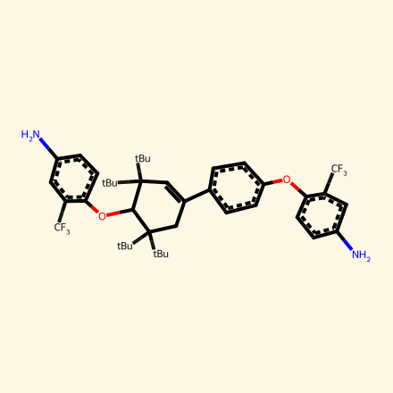 CC(C)(C)C1(C(C)(C)C)C=C(c2ccc(Oc3ccc(N)cc3C(F)(F)F)cc2)CC(C(C)(C)C)(C(C)(C)C)C1Oc1ccc(N)cc1C(F)(F)F